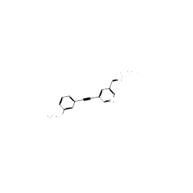 CON=Cc1cncc(C#Cc2cccc(OC)c2)c1